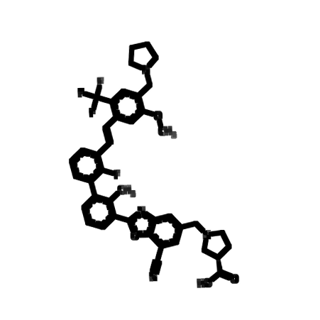 COc1cc(/C=C/c2cccc(-c3cccc(-c4nc5cc(CN6CC[C@@H](C(=O)O)C6)cc(C#N)c5o4)c3C)c2F)c(C(F)(F)F)cc1CN1CCCC1